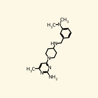 Cc1cc(N2CCC(NCc3cccc(N(C)C)c3)CC2)nc(N)n1